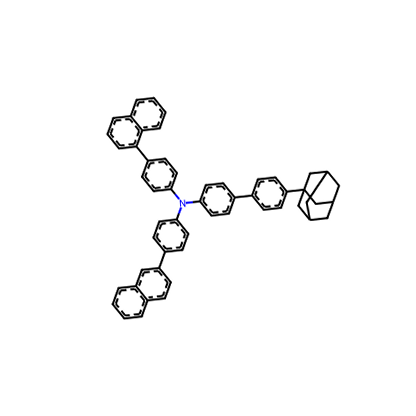 c1ccc2cc(-c3ccc(N(c4ccc(-c5ccc(C67CC8CC(CC(C8)C6)C7)cc5)cc4)c4ccc(-c5cccc6ccccc56)cc4)cc3)ccc2c1